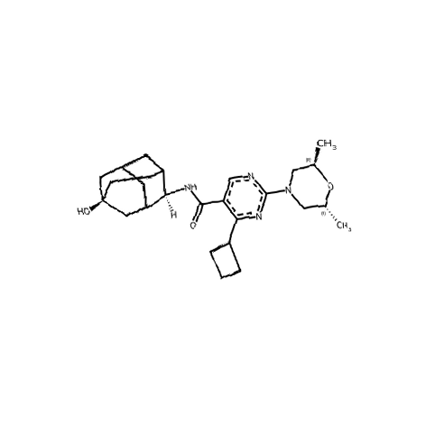 C[C@@H]1CN(c2ncc(C(=O)N[C@H]3C4CC5CC3C[C@@](O)(C5)C4)c(C3CCC3)n2)C[C@@H](C)O1